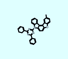 Cc1ccc2oc3ccc4c(c5ccccc5n4-c4nc(C5=CC=CCC5)nc(-c5ccccc5)n4)c3c2c1